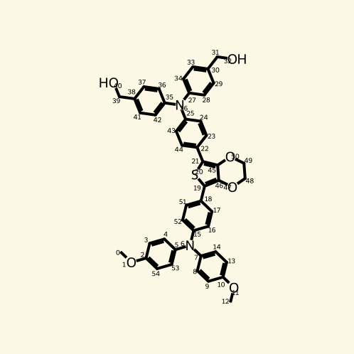 COc1ccc(N(c2ccc(OC)cc2)c2ccc(-c3sc(-c4ccc(N(c5ccc(CO)cc5)c5ccc(CO)cc5)cc4)c4c3OCCO4)cc2)cc1